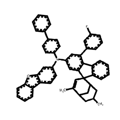 CC1=CC2(c3ccccc3-c3c(-c4cccc(F)c4)cc(N(c4ccc(-c5ccccc5)cc4)c4ccc5c(c4)oc4ccccc45)cc32)C2CC(C)CC1C2